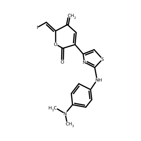 C=c1cc(-c2csc(Nc3ccc(N(C)C)cc3)n2)c(=O)o/c1=C\I